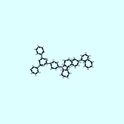 c1ccc(-c2cc(-c3ccccc3)nc(-c3ccc(-n4c5ccccc5c5c6ccc(-c7cccc8ccccc78)cc6ccc54)cc3)n2)cc1